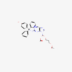 COc1ccc(C(Nc2ncc3ncn(C(OCCCOC(C)=O)OC(C)=O)c3n2)(c2ccccc2)c2ccccc2)cc1